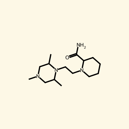 CC1CN(C)CC(C)N1CCN1CCCCC1C(N)=O